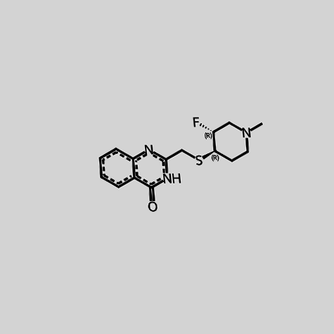 CN1CC[C@@H](SCc2nc3ccccc3c(=O)[nH]2)[C@H](F)C1